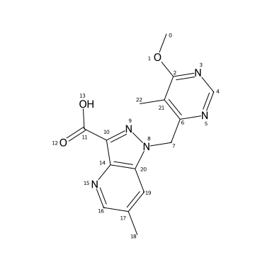 COc1ncnc(Cn2nc(C(=O)O)c3ncc(C)cc32)c1C